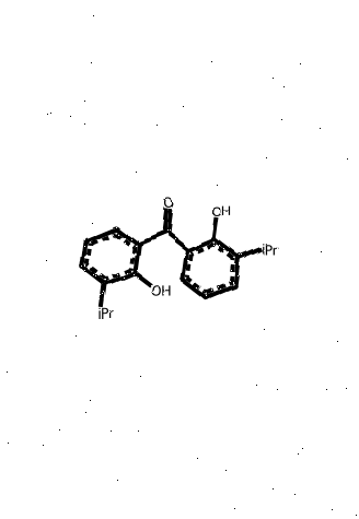 CC(C)c1cccc(C(=O)c2cccc(C(C)C)c2O)c1O